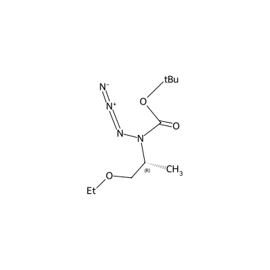 CCOC[C@@H](C)N(N=[N+]=[N-])C(=O)OC(C)(C)C